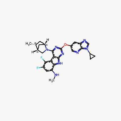 CNc1cc(F)c(F)c2c1[nH]c1nc(Oc3cnc4c(c3)ncn4C3CC3)nc(N3C[C@H]4C[C@@H]3C[C@H]4C)c12